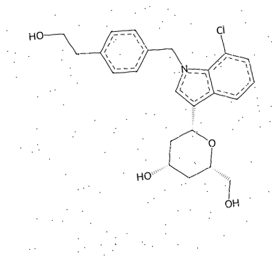 OCCc1ccc(Cn2cc([C@H]3C[C@@H](O)C[C@@H](CO)O3)c3cccc(Cl)c32)cc1